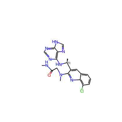 CNC(=O)CN(C)c1nc2c(Cl)cccc2cc1[C@H](C)Nc1ncnc2[nH]cnc12